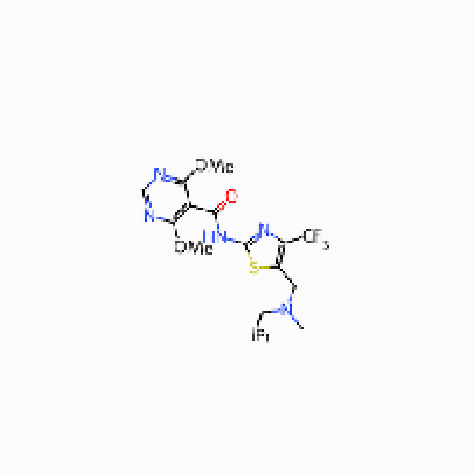 COc1ncnc(OC)c1C(=O)Nc1nc(C(F)(F)F)c(CN(C)CC(C)C)s1